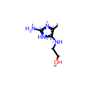 Cc1nc(N)[nH]c1NCCO